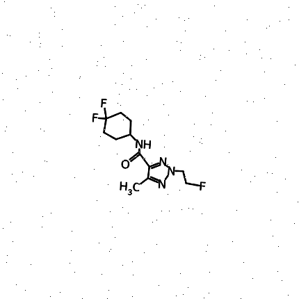 Cc1nn(CCF)nc1C(=O)NC1CCC(F)(F)CC1